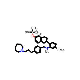 CCN(Cc1ccc(CCCN2CCCCCC2)cc1)c1cc(OC)ccc1C1CCc2cc(O[Si](C)(C)C(C)(C)C)ccc2C1